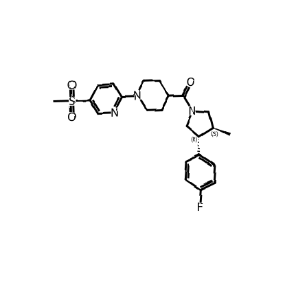 C[C@@H]1CN(C(=O)C2CCN(c3ccc(S(C)(=O)=O)cn3)CC2)C[C@H]1c1ccc(F)cc1